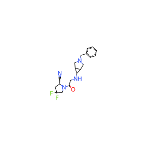 N#C[C@@H]1CC(F)(F)CN1C(=O)CNC1C2CN(Cc3ccccc3)CC21